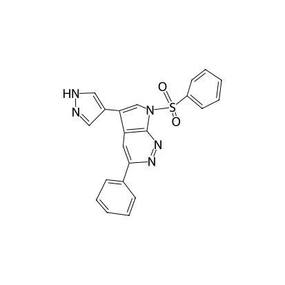 O=S(=O)(c1ccccc1)n1cc(-c2cn[nH]c2)c2cc(-c3ccccc3)nnc21